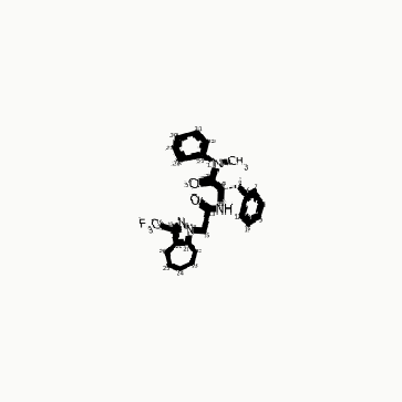 CN(C(=O)[C@H](Cc1ccccc1)NC(=O)Cn1nc(C(F)(F)F)c2c1CCCCC2)c1ccccc1